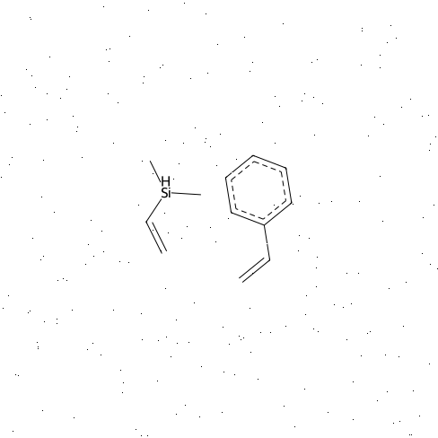 C=C[SiH](C)C.C=Cc1ccccc1